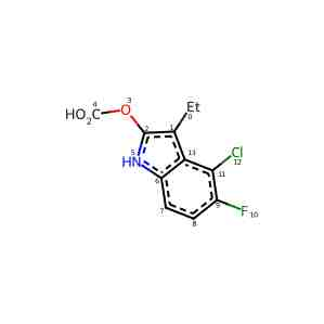 CCc1c(OC(=O)O)[nH]c2ccc(F)c(Cl)c12